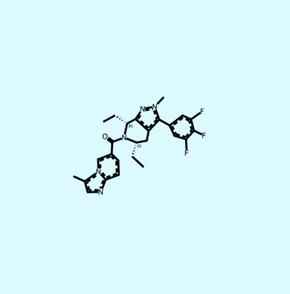 CC[C@H]1Cc2c(nn(C)c2-c2cc(F)c(F)c(F)c2)[C@@H](CC)N1C(=O)c1ccc2ncc(C)n2c1